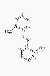 Cc1ccccc1N=Nc1ccccc1O